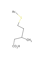 CC(=O)SCCC(C)CC(=O)O